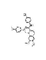 COc1ccc(OCC2c3cc(OC)c(OC)cc3CCN2C(=O)Nc2ccc(Cl)cc2)cc1